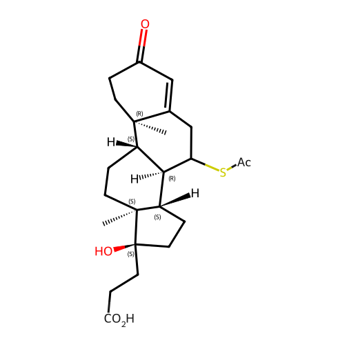 CC(=O)SC1CC2=CC(=O)CC[C@]2(C)[C@H]2CC[C@@]3(C)[C@@H](CC[C@]3(O)CCC(=O)O)[C@H]12